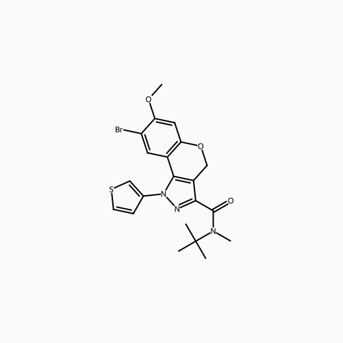 COc1cc2c(cc1Br)-c1c(c(C(=O)N(C)C(C)(C)C)nn1-c1ccsc1)CO2